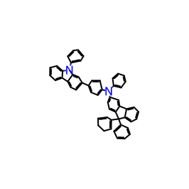 C1=CC(C2(c3ccccc3)c3ccccc3-c3cc(N(c4ccccc4)c4ccc(-c5ccc6c7ccccc7n(-c7ccccc7)c6c5)cc4)ccc32)=CCC1